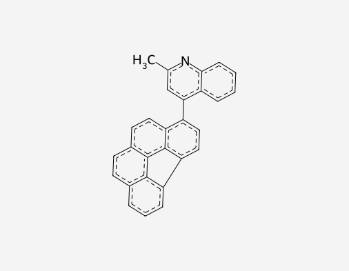 Cc1cc(-c2ccc3c4c2ccc2ccc5cccc-3c5c24)c2ccccc2n1